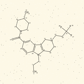 CCCn1c2c(c3cc(C(=O)N4CCC(C)CC4)ccc31)CN(CCC(F)(F)F)CC2